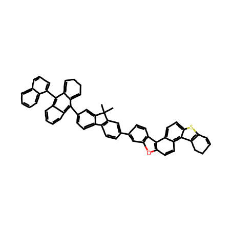 CC1(C)c2cc(-c3ccc4c(c3)oc3ccc5c(ccc6sc7c(c65)CCC=C7)c34)ccc2-c2ccc(-c3c4c(c(-c5cccc6ccccc56)c5ccccc35)=CCCC=4)cc21